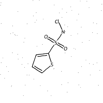 O=S(=O)([N]Cl)c1cccs1